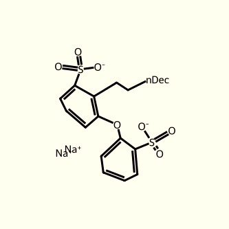 CCCCCCCCCCCCc1c(Oc2ccccc2S(=O)(=O)[O-])cccc1S(=O)(=O)[O-].[Na+].[Na+]